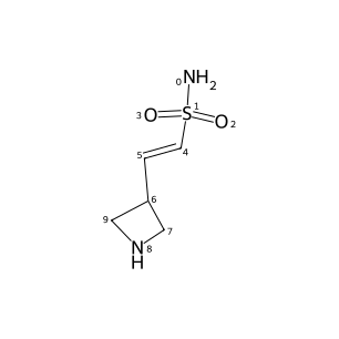 NS(=O)(=O)/C=C/C1CNC1